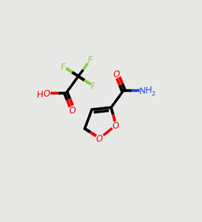 NC(=O)C1=CCOO1.O=C(O)C(F)(F)F